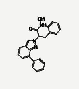 O=C(NO)C(Cc1ccccc1)n1cc2cccc(-c3ccccc3)c2n1